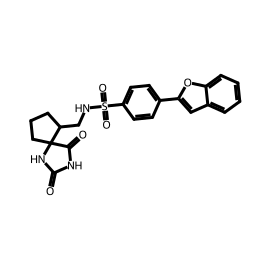 O=C1NC(=O)C2(CCCC2CNS(=O)(=O)c2ccc(-c3cc4ccccc4o3)cc2)N1